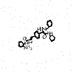 Nc1ccccc1NC(=O)/C=C/c1ccc(C(NCc2ccccc2)C(=O)NC2CCCCC2)cc1